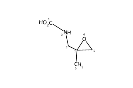 CC1(CNC(=O)O)CO1